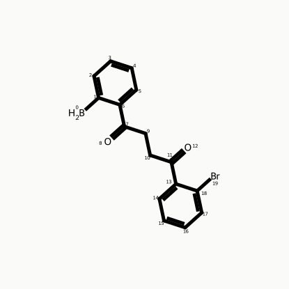 Bc1ccccc1C(=O)CCC(=O)c1ccccc1Br